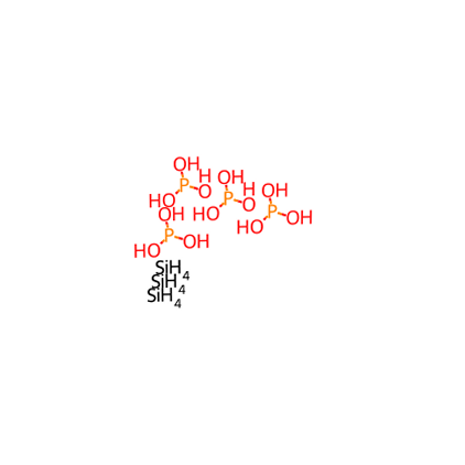 OP(O)O.OP(O)O.OP(O)O.OP(O)O.[SiH4].[SiH4].[SiH4]